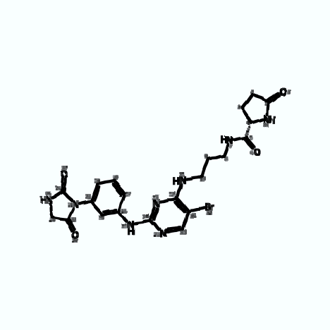 O=C1CC[C@@H](C(=O)NCCCNc2nc(Nc3cccc(N4C(=O)CNC4=O)c3)ncc2Br)N1